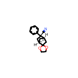 N#C[C@]1(c2ccccc2)C[C@H]2C[C@@H]1CC21OCCO1